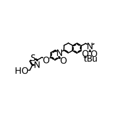 CN(Cc1ccc2c(c1)CCC(n1ccc(OCc3nc(CO)cs3)cc1=O)=C2)C(=O)OC(C)(C)C